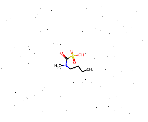 CCCCN(C)C(=O)S(=O)(=O)O